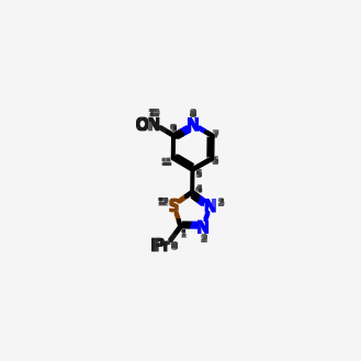 CC(C)c1nnc(-c2ccnc(N=O)c2)s1